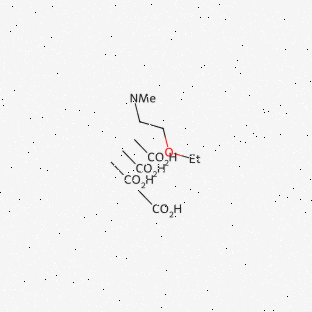 CC(=O)O.CC(=O)O.CC(=O)O.CC(=O)O.CCOCCNC